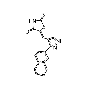 O=C1NC(=S)S/C1=C\c1c[nH]nc1-c1ccc2ccccc2c1